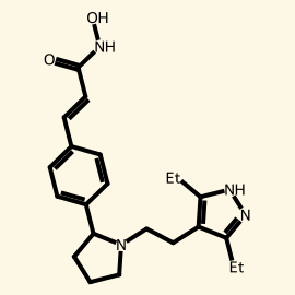 CCc1n[nH]c(CC)c1CCN1CCCC1c1ccc(C=CC(=O)NO)cc1